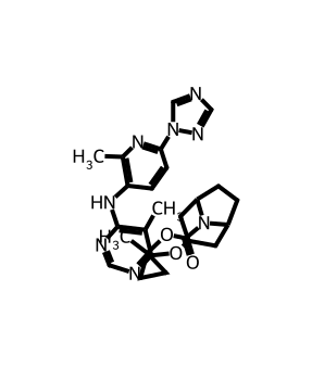 Cc1nc(-n2cncn2)ccc1Nc1ncnc(OC2CC3CCC(C2)N3C(=O)OC2(C)CC2)c1C